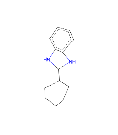 c1ccc2c(c1)NC(C1CCCCC1)N2